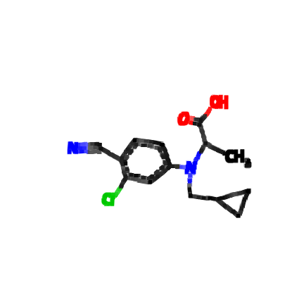 CC(C(=O)O)N(CC1CC1)c1ccc(C#N)c(Cl)c1